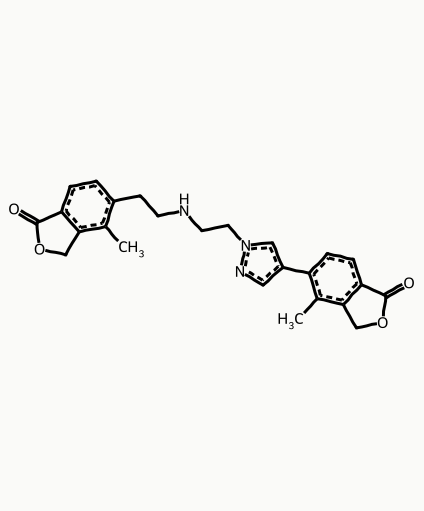 Cc1c(CCNCCn2cc(-c3ccc4c(c3C)COC4=O)cn2)ccc2c1COC2=O